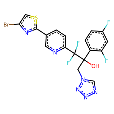 OC(Cn1cnnn1)(c1ccc(F)cc1F)C(F)(F)c1ccc(-c2nc(Br)cs2)cn1